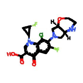 O=C(O)c1cn([C@@H]2C[C@@H]2F)c2c(Cl)c(N3C[C@H]4NCCO[C@@H]4C3)c(F)cc2c1=O